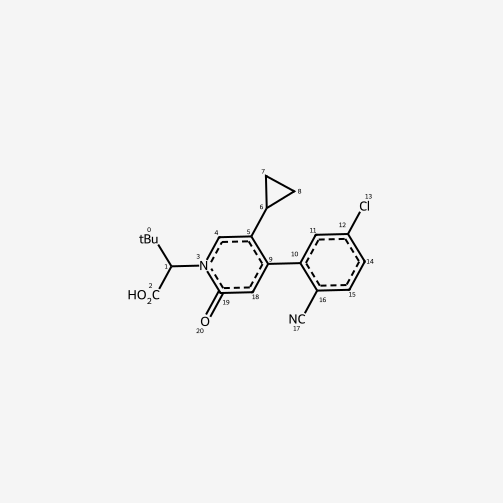 CC(C)(C)C(C(=O)O)n1cc(C2CC2)c(-c2cc(Cl)ccc2C#N)cc1=O